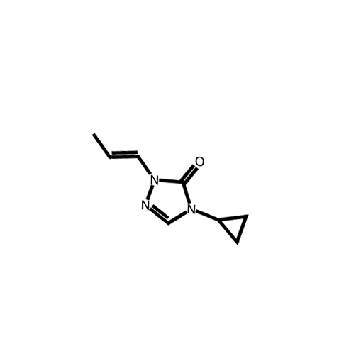 C/C=C/n1ncn(C2CC2)c1=O